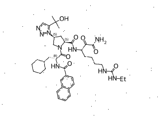 CCNC(=O)NCCCCC(NC(=O)[C@@H]1C[C@H](n2nncc2C(C)(C)O)CN1C(=O)[C@@H](CC1CCCCC1)NC(=O)c1ccc2ccccc2c1)C(=O)C(N)=O